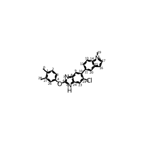 Cc1ccc(Oc2nc3cc(-c4ccc5c(ccn5C)c4)c(Cl)cc3[nH]2)cc1C